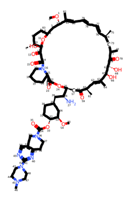 CO[C@H]1C[C@@H]2CC[C@@H](C)[C@@](O)(O2)C(=O)C(=O)N2CCCC[C@H]2C(=O)O[C@H]([C@H](N)C[C@@H]2CC[C@@H](OC(=O)N3CCc4nc(N5CCN(C)CC5)ncc4C3)[C@H](OC)C2)CC(=O)[C@H](C)/C=C(\C)[C@@H](O)[C@@H](O)C(=O)C(C)C[C@H](C)/C=C/C=C/C=C/1C